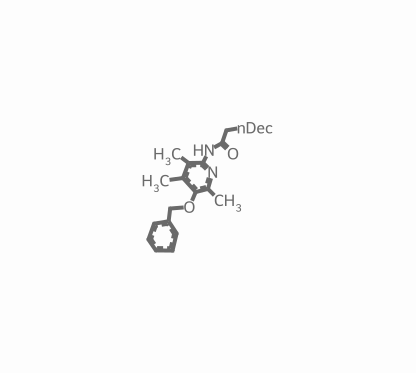 CCCCCCCCCCCC(=O)Nc1nc(C)c(OCc2ccccc2)c(C)c1C